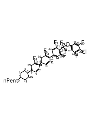 CCCCCC1CCC(c2ccc(-c3ccc(-c4cc(F)c(C(F)(F)Oc5cc(F)c(Cl)c(F)c5)c(F)c4)c(F)c3)c(F)c2)CC1